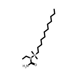 CCCCCCCCCCCC[N+](C)(C)N(CC)C(N)=O